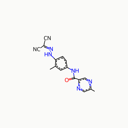 Cc1cnc(C(=O)Nc2ccc(NN=C(C#N)C#N)c(C)c2)cn1